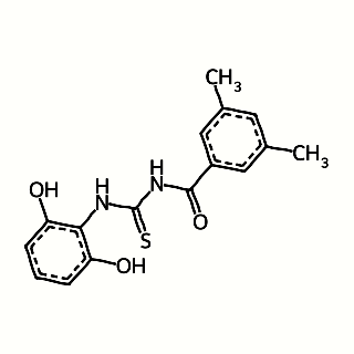 Cc1cc(C)cc(C(=O)NC(=S)Nc2c(O)cccc2O)c1